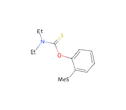 CCN(CC)C(=S)Oc1ccccc1SC